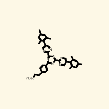 CCCCCCCCCCCCc1ccc(-c2nc(-c3ncc(-c4c(C)cc(C)cc4C)cn3)nc(-c3ncc(-c4c(C)cc(C)cc4C)cn3)n2)cc1